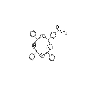 NC(=O)c1ccc(C2=C3C=CC(=N3)C(c3ccccc3)=C3C=CC(=N3)C(c3ccccc3)=C3C=CC(=N3)C(c3ccccc3)=C3C=CC2=N3)cc1